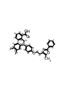 Cc1oc(-c2ccccc2)nc1CCOc1ccc(N(Cc2ccccc2C(=O)O)c2ccc(F)c(F)c2)cc1